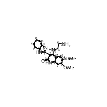 COc1cc2[nH]c(=O)c(-c3nc4ccccc4[nH]3)c(NCCN)c2cc1OC